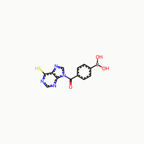 O=C(c1ccc(B(O)O)cc1)n1cnc2c(S)ncnc21